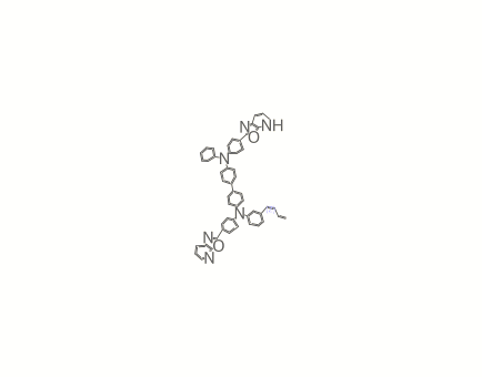 C=C/C=C\c1cccc(N(c2ccc(-c3ccc(N(c4ccccc4)c4ccc(-c5nc6c(o5)NCC=C6)cc4)cc3)cc2)c2ccc(-c3nc4cccnc4o3)cc2)c1